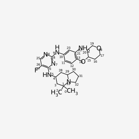 CC1(C)CC(Nc2nc(Nc3ccc(OC4CCOCC4)c(N)c3)ncc2F)CC2CCCN21